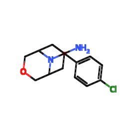 NC1CC2COCC(C1)N2Cc1ccc(Cl)cc1